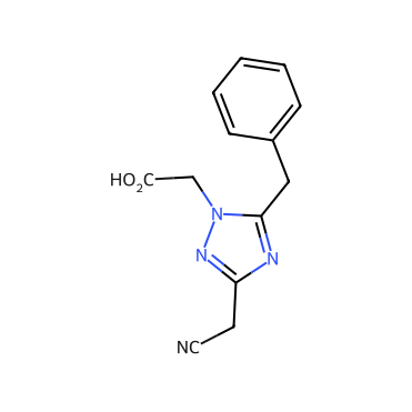 N#CCc1nc(Cc2ccccc2)n(CC(=O)O)n1